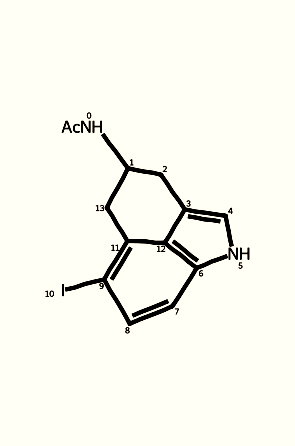 CC(=O)NC1Cc2c[nH]c3ccc(I)c(c23)C1